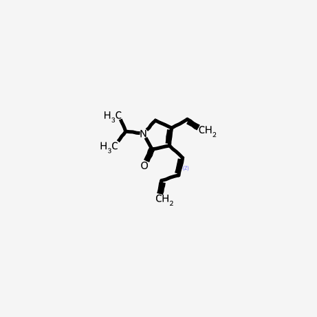 C=C/C=C\C1=C(C=C)CN(C(C)C)C1=O